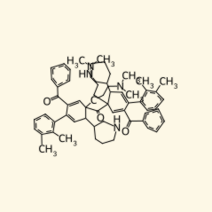 Cc1cccc(C2=CC(C3CCCNC3)C(CCCN(C)C)(C(=O)C3(CCCN(C)C)C=C(C(=O)c4ccccc4)C(c4cccc(C)c4C)=CC3C3CCCNC3)C=C2C(=O)c2ccccc2)c1C